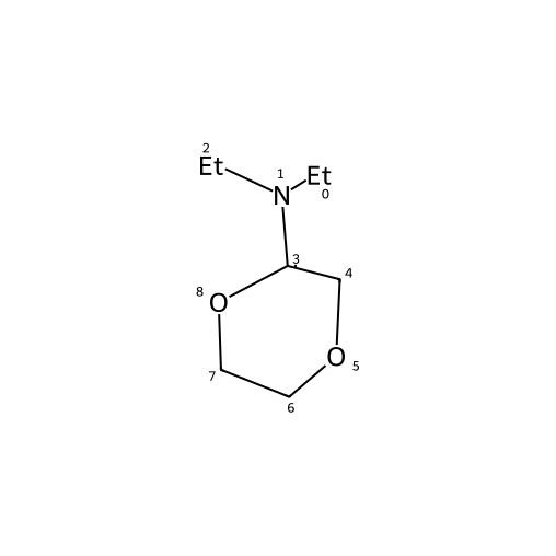 CCN(CC)[C]1COCCO1